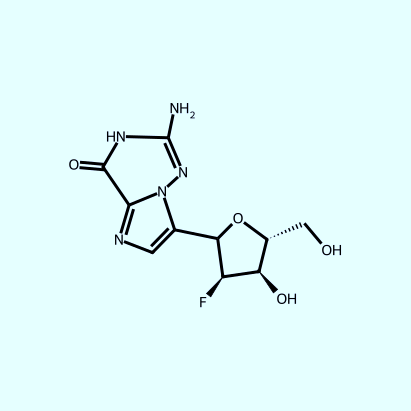 Nc1nn2c(C3O[C@H](CO)[C@@H](O)[C@H]3F)cnc2c(=O)[nH]1